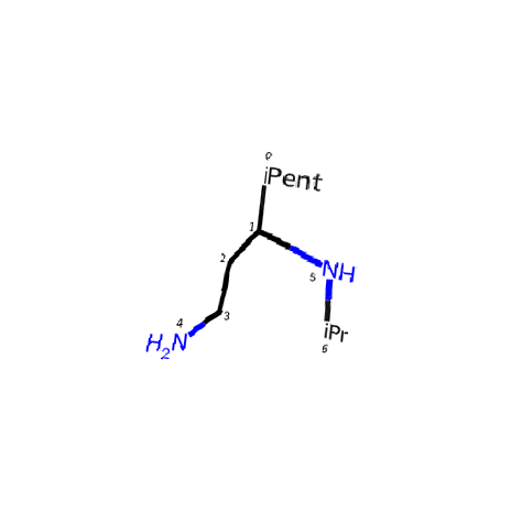 CCCC(C)C(CCN)NC(C)C